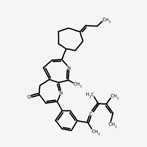 C/C=C(/C)C(C)=C=C(C)c1cccc(C2=CC(=O)CC3=CC=C(C4CCC/C(=C/CC)CC4)N=C(C)C3=N2)c1